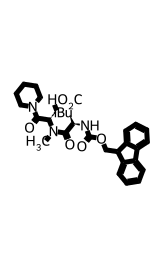 CC[C@H](C)[C@H](NC(=O)OCC1c2ccccc2-c2ccccc21)C(=O)N(C)[C@@H](CC(=O)O)C(=O)N1CCCCC1